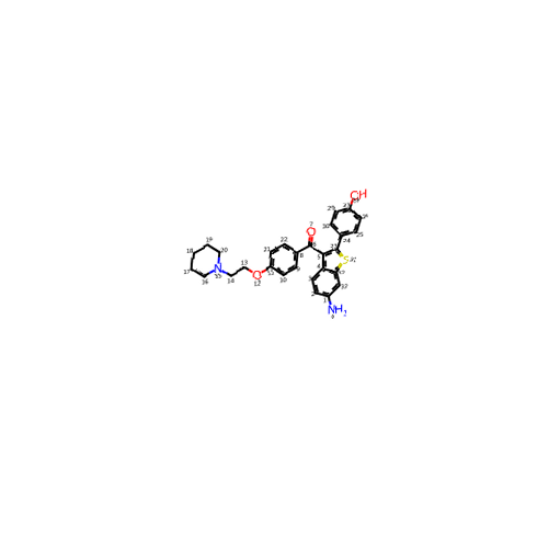 Nc1ccc2c(C(=O)c3ccc(OCCN4CCCCC4)cc3)c(-c3ccc(O)cc3)sc2c1